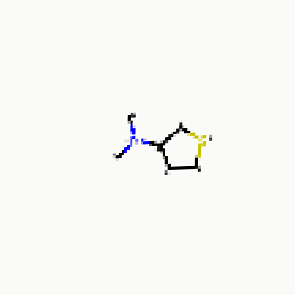 CN(C)[C]1CCSC1